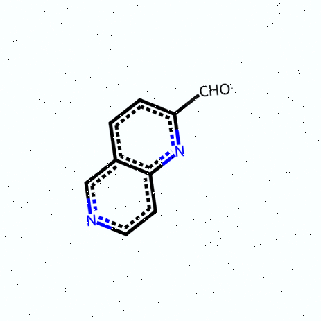 O=[C]c1ccc2cnccc2n1